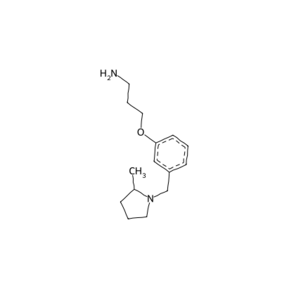 CC1CCCN1Cc1cccc(OCCCN)c1